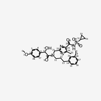 COc1ccc([C@@H](O)C(=O)N(CCCc2cccc(F)c2)Cc2nc(C(=O)NS(=O)(=O)C3CC3)c(C)s2)cc1